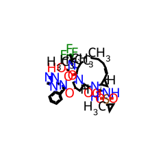 C[C@@H]1CC/C=C\[C@@H]2C[C@@]2(C(=O)NS(=O)(=O)C2(C)CC2)NC(=O)[C@@H]2C[C@@H](Oc3nc4nncn4c4ccccc34)CN2C(=O)[C@@H](N(C(=O)O)C(C)(C)C(F)(F)F)[C@H](C)C1